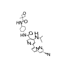 CC(C)Nc1cc(-c2ccc3cc(C#N)cnn23)ncc1C(=O)N[C@H]1CC[C@H](NC(=O)C2(C)COC2)CC1